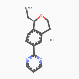 CNC[C@H]1OCCc2cc(-c3ncccn3)ccc21.Cl